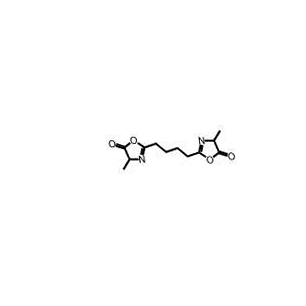 CC1N=C(CCCCC2=NC(C)C(=O)O2)OC1=O